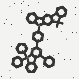 CC1(C)c2ccccc2-c2cc3c4ccccc4n(-c4ccc(-c5nc(-c6ccccc6)c6c(n5)[Si](c5ccccc5)(c5ccccc5)c5ccccc5-6)cc4)c3cc21